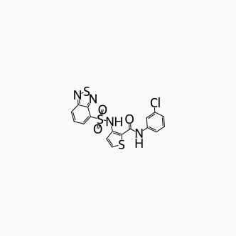 O=C(Nc1cccc(Cl)c1)c1sccc1NS(=O)(=O)c1cccc2nsnc12